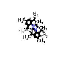 Cc1cc(C(C)C)c(N2[C]N(c3c(C(C)C)cc(C)cc3C(C)C)CC2)c(C(C)C)c1